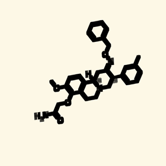 COc1ccc2c(c1OCC(N)=O)CCN1C[C@H](c3cccc(C)c3)C(=NOCc3ccccc3)C[C@@H]21